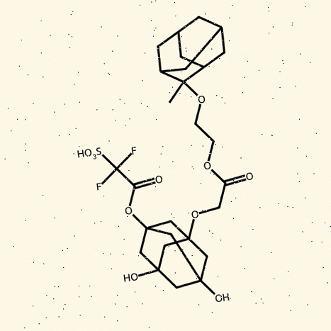 CC1(OCCOC(=O)COC23CC4(O)CC(O)(C2)CC(OC(=O)C(F)(F)S(=O)(=O)O)(C4)C3)C2CC3CC(C2)CC1C3